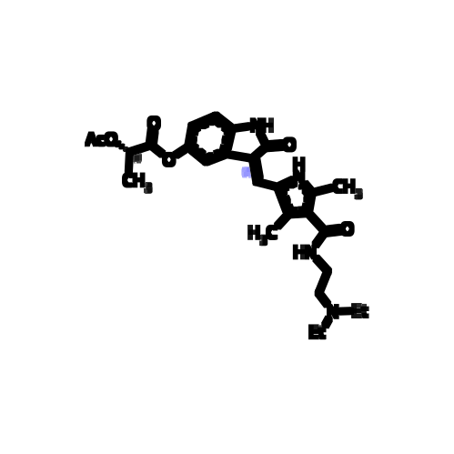 CCN(CC)CCNC(=O)c1c(C)[nH]c(/C=C2\C(=O)Nc3ccc(OC(=O)[C@H](C)OC(C)=O)cc32)c1C